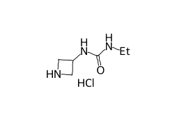 CCNC(=O)NC1CNC1.Cl